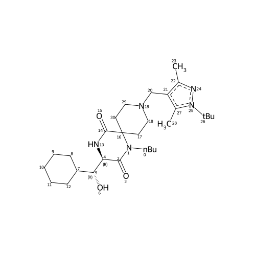 CCCCN1C(=O)[C@@H]([C@H](O)C2CCCCC2)NC(=O)C12CCN(Cc1c(C)nn(C(C)(C)C)c1C)CC2